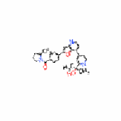 CC(C)(O)c1cc(-c2ccnc3cc(-c4ccc(C(=O)N5CCC[C@H]5C(F)(F)F)cc4)oc23)ccn1